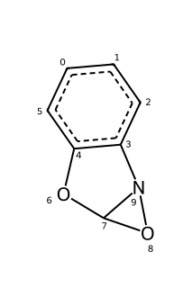 c1ccc2c(c1)OC1ON21